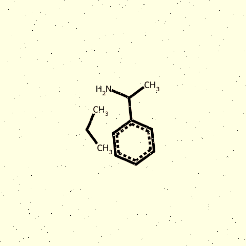 CC(N)c1ccccc1.CCC